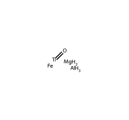 [AlH3].[Fe].[MgH2].[O]=[Ti]